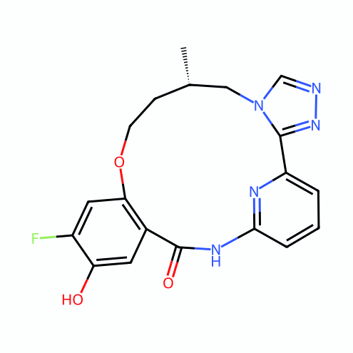 C[C@H]1CCOc2cc(F)c(O)cc2C(=O)Nc2cccc(n2)-c2nncn2C1